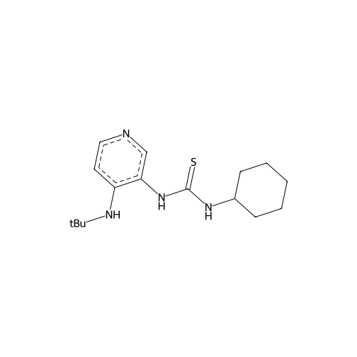 CC(C)(C)Nc1ccncc1NC(=S)NC1CCCCC1